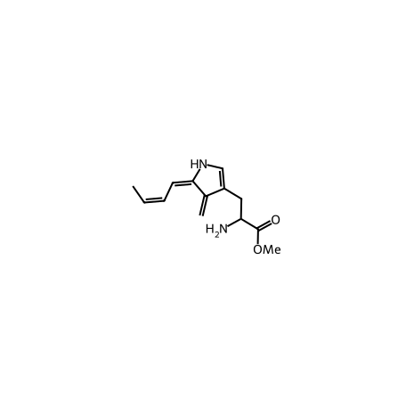 C=c1c(CC(N)C(=O)OC)c[nH]/c1=C/C=C\C